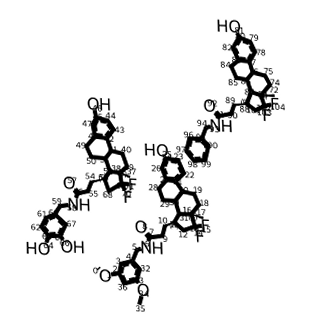 COc1cc(CNC(=O)CC[C@@H]2CC(F)(F)[C@@]3(C)CCC4c5ccc(O)cc5CCC4C23)cc(OC)c1.C[C@]12CCC3c4ccc(O)cc4CCC3C1[C@H](CCC(=O)NCc1ccc(O)c(O)c1)CC2(F)F.C[C@]12CCC3c4ccc(O)cc4CCC3C1[C@H](CCC(=O)NCc1ccccc1)CC2(F)F